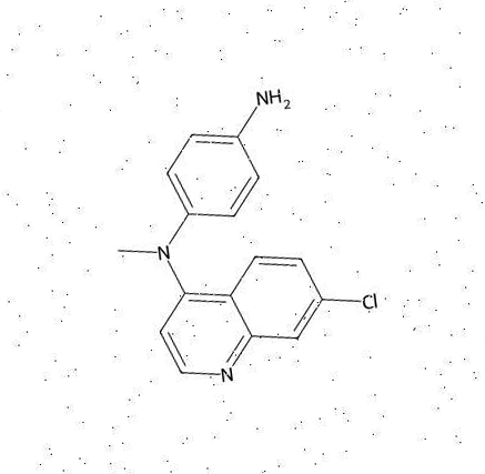 CN(c1ccc(N)cc1)c1ccnc2cc(Cl)ccc12